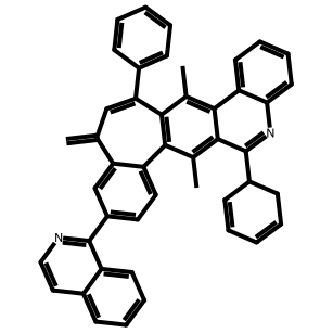 C=C1C=C(c2ccccc2)c2c(c(C)c3c(C4C=CC=CC4)nc4ccccc4c3c2C)-c2ccc(-c3nccc4ccccc34)cc21